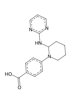 O=C(O)c1ccc(N2CCCCC2Nc2ncccn2)cc1